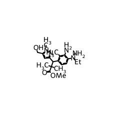 CCN(N)c1ccc(C(c2cc(CO)n(C)n2)C(C)(C)C(=O)OC)c(C)c1N